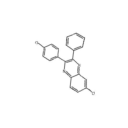 Clc1ccc(-c2nc3ccc(Cl)cc3nc2-c2ccccc2)cc1